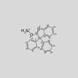 O=C(O[SiH3])C(c1ccccc1)(c1ccccc1)c1ccccc1